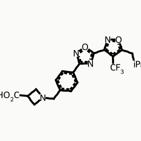 CC(C)Cc1onc(-c2nc(-c3ccc(CN4CC(C(=O)O)C4)cc3)no2)c1C(F)(F)F